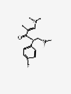 CC(=CN(C)C)C(=O)C(CN(C)C)c1ccc(F)cc1